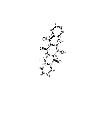 O=C1c2[nH]c3ccccc3c(=O)c2C(=O)c2[nH]c3ccccc3c(=O)c21